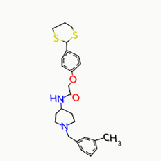 Cc1cccc(CN2CCC(NC(=O)COc3ccc(C4SCCCS4)cc3)CC2)c1